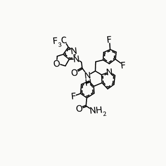 NC(=O)c1cc(-c2cccnc2C(Cc2cc(F)cc(F)c2)NC(=O)Cn2nc(C(F)(F)F)c3c2COC3)ccc1F